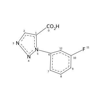 O=C(O)c1cnnn1-c1cccc(F)c1